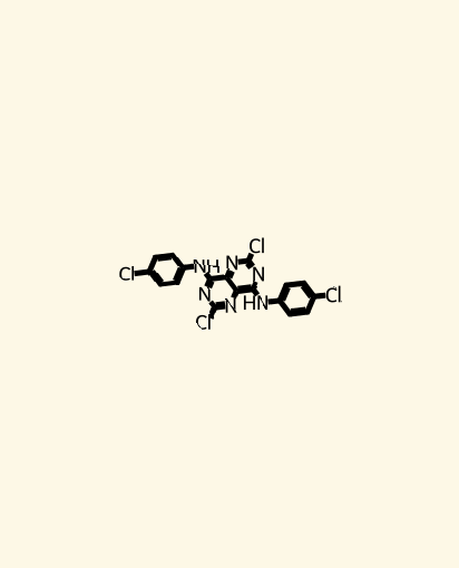 Clc1ccc(Nc2nc(Cl)nc3c(Nc4ccc(Cl)cc4)nc(Cl)nc23)cc1